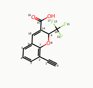 C#Cc1cccc2c1OC(C(F)(F)F)C(C(=O)O)=C2